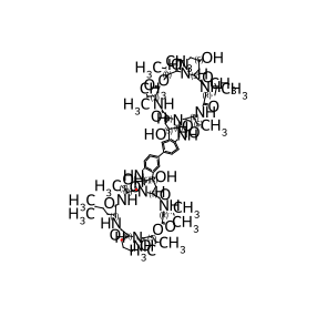 CC(C)CC[C@@H]1NC(=O)[C@H]2CCCNN2C(=O)[C@H](C(C)C)OC(=O)[C@@H](C(C)C)NC(=O)[C@@H]2C[C@@]3(O)c4cc(-c5ccc6c(c5)[C@@]5(O)C[C@@H]7C(=O)N[C@@H](C(C)C)C(=O)O[C@H](C(C)C)C(=O)N8NC[C@@H](O)C[C@H]8C(=O)N[C@H](CC(C)C)C(=O)N[C@H]([C@H](C)O)C(=O)N7[C@H]5N6)ccc4N[C@H]3N2C(=O)[C@@H]([C@H](C)O)NC1=O